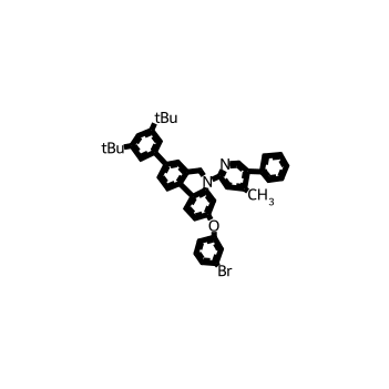 Cc1cc(N2Cc3cc(-c4cc(C(C)(C)C)cc(C(C)(C)C)c4)ccc3-c3ccc(Oc4cccc(Br)c4)cc32)ncc1-c1ccccc1